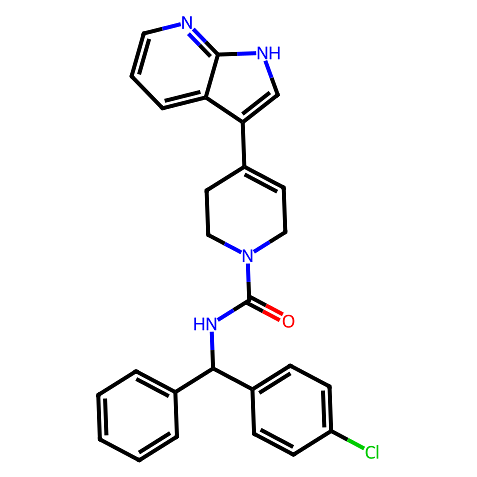 O=C(NC(c1ccccc1)c1ccc(Cl)cc1)N1CC=C(c2c[nH]c3ncccc23)CC1